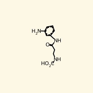 Nc1cccc(NC(=O)CCNC(=O)O)c1